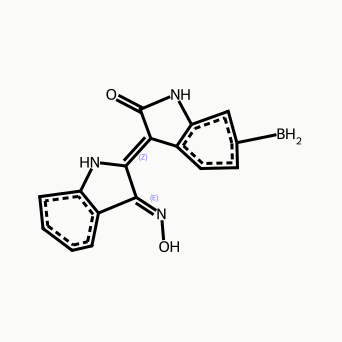 Bc1ccc2c(c1)NC(=O)/C2=C1\Nc2ccccc2\C1=N/O